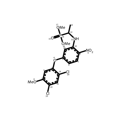 COc1cc(Oc2ccc([N+](=O)[O-])c(NC(C)P(=O)(OC)OC)c2)c(Cl)cc1Cl